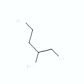 [CH2]C[CH]C(C)CC